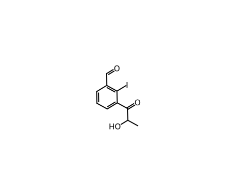 CC(O)C(=O)c1cccc(C=O)c1I